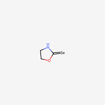 [Se]=C1NCCO1